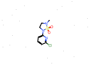 CN1CCN(c2cc[c]c(Cl)n2)S1(=O)=O